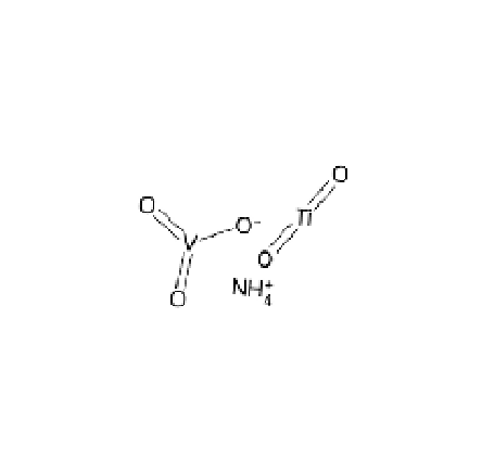 [NH4+].[O]=[Ti]=[O].[O]=[V](=[O])[O-]